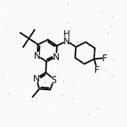 Cc1csc(-c2nc(NC3CCC(F)(F)CC3)cc(C(C)(C)C)n2)n1